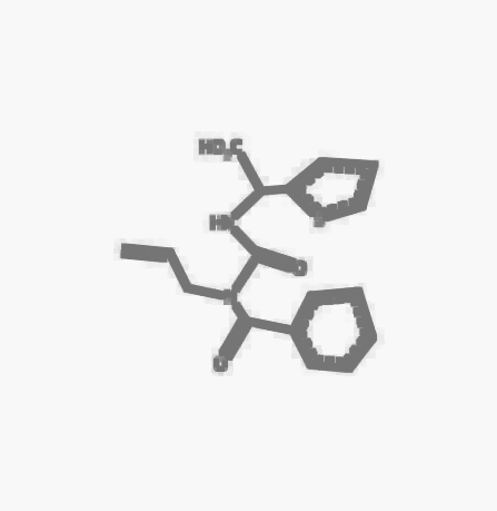 C=CCN(C(=O)NC(C(=O)O)c1cccs1)C(=O)c1ccccc1